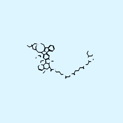 CCC(CO)OC(COC(=O)CCCC(=O)N[C@H](C)C(=O)OCCCNC(=O)[C@]1(O)C2N(C)c3cc(OC)c([C@@]4(C(=O)OC)C[C@@H]5C[N@](CCc6c4[nH]c4ccccc64)CC(O)(CC)C5)cc3[C@@]23CCN2CC=C[C@](CC)(C23)[C@H]1O)OC